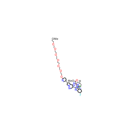 COCCOCCOCCOCCOCCOCCOCCOc1ccc(-c2cc3c(N[C@@H]4C[C@H]5CC[C@@H](C4)N5CC(=O)OC)c(/C(N)=N/c4cc(F)ccc4Cl)cnn3c2)cn1